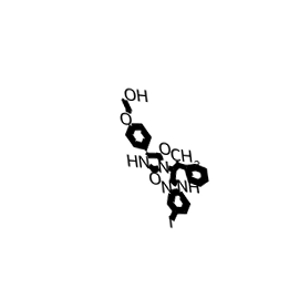 C[C@@H](c1ccccc1)C(c1nc2cc(I)ccc2[nH]1)N1C(=O)N[C@H](c2ccc(OCCO)cc2)C1=O